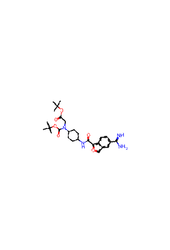 CC(C)(C)OC(=O)CN(C(=O)OC(C)(C)C)C1CCC(NC(=O)c2occ3cc(C(=N)N)ccc23)CC1